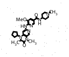 COc1cc(C(=O)NC2CCN(C)CC2)cnc1Nc1cc2c(cn1)N(C)C(=O)C(C)N2C1CCCC1